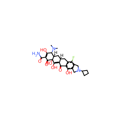 CN(C)[C@@H]1C(O)=C(C(N)=O)C(=O)[C@@]2(O)C(O)=C3C(=O)c4c(O)c5c(c(F)c4C[C@H]3C[C@@H]12)CN(C1CCC1)C5